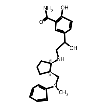 CN(C[C@H]1CCC[C@H]1NCC(O)c1ccc(O)c(C(N)=O)c1)c1ccccc1